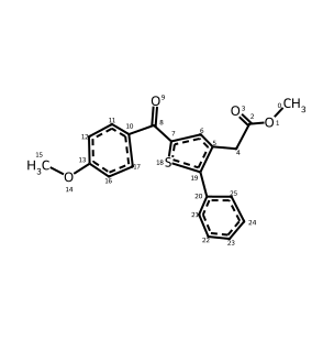 COC(=O)Cc1cc(C(=O)c2ccc(OC)cc2)sc1-c1ccccc1